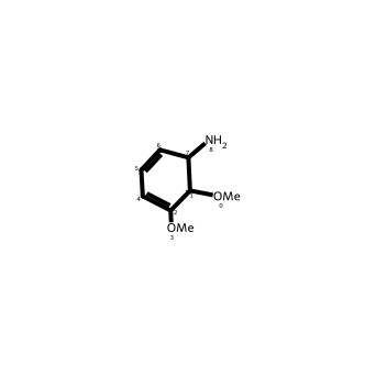 CO[C]1C(OC)=CC=CC1N